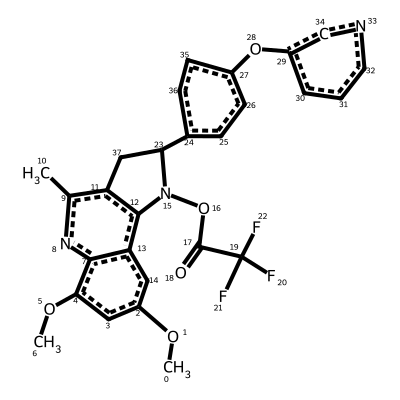 COc1cc(OC)c2nc(C)c3c(c2c1)N(OC(=O)C(F)(F)F)C(c1ccc(Oc2cccnc2)cc1)C3